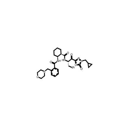 CC(C)C[C@H](NC(=O)[C@@H]1CCCC[C@@H]1NC(=O)c1ccccc1CN1CCOCC1)C(=O)c1nn(CC2CC2)c(=O)o1